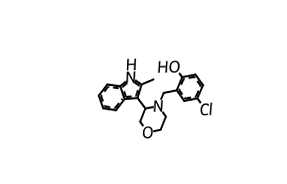 Cc1[nH]c2ccccc2c1C1COCCN1Cc1cc(Cl)ccc1O